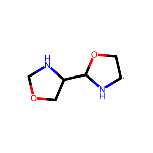 [CH]1COC(C2COCN2)N1